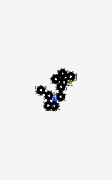 c1ccc(-c2ccc(N(c3cccc(-c4ccc5c(c4)-c4sc6ccccc6c4C5(c4ccccc4)c4ccccc4)c3)c3cccc4ccccc34)cc2)cc1